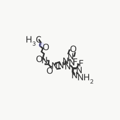 C/C=C/C(=O)CCC(=O)N1CC(C(=O)N2CCN(c3nc(-c4cnc(N)nc4C(F)F)nc(N4CCOCC4)n3)CC2)C1